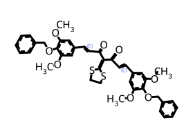 COc1cc(/C=C/C(=O)C(C(=O)/C=C/c2cc(OC)c(OCc3ccccc3)c(OC)c2)=C2SCCS2)cc(OC)c1OCc1ccccc1